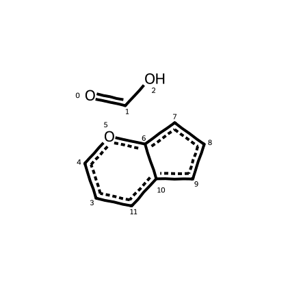 O=CO.c1coc2cccc-2c1